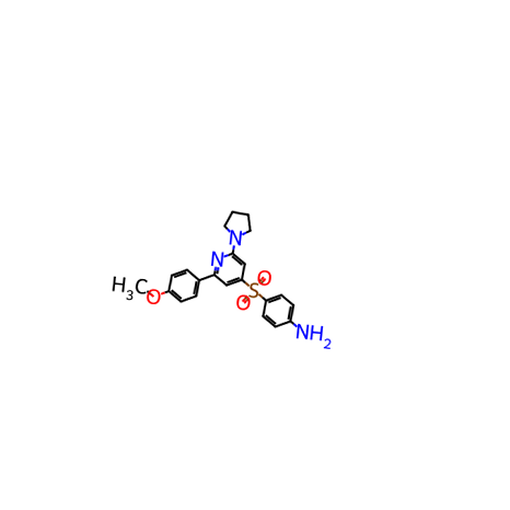 COc1ccc(-c2cc(S(=O)(=O)c3ccc(N)cc3)cc(N3CCCC3)n2)cc1